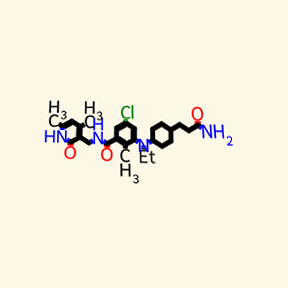 CCN(c1cc(Cl)cc(C(=O)NCc2c(C)cc(C)[nH]c2=O)c1C)C1CCC(CCC(N)=O)CC1